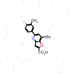 Cc1cc(-c2cc(C(C)(C)C)c3oc(C(=O)O)cc3n2)ccc1F